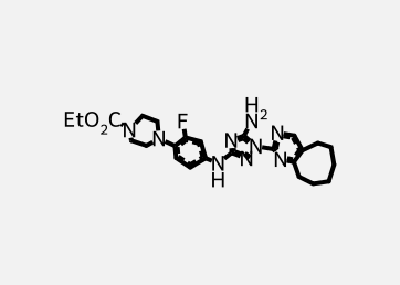 CCOC(=O)N1CCN(c2ccc(Nc3nc(N)n(-c4ncc5c(n4)CCCCCC5)n3)cc2F)CC1